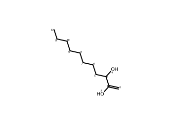 C=C(O)C(O)CCCCCCCC